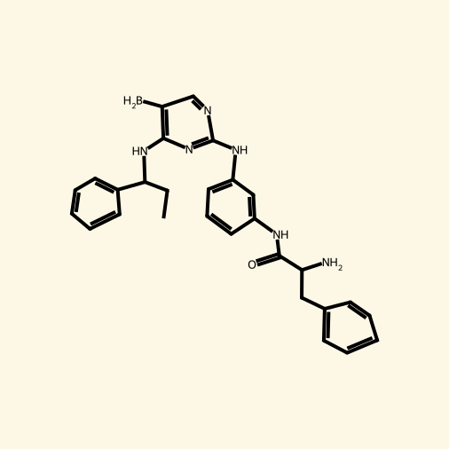 Bc1cnc(Nc2cccc(NC(=O)C(N)Cc3ccccc3)c2)nc1NC(CC)c1ccccc1